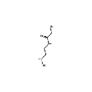 CCC(C)CC(=O)NCCNC(C)C